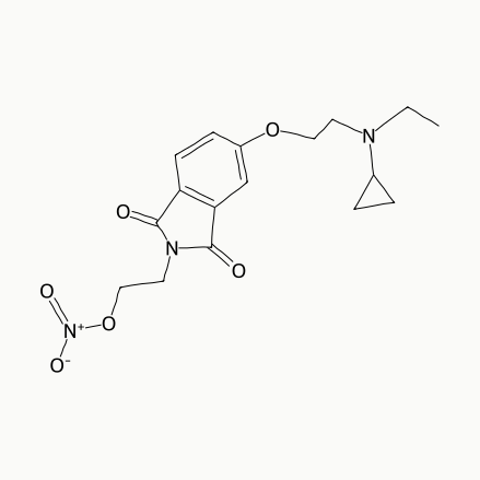 CCN(CCOc1ccc2c(c1)C(=O)N(CCO[N+](=O)[O-])C2=O)C1CC1